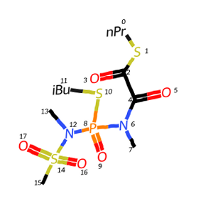 CCCSC(=O)C(=O)N(C)P(=O)(SC(C)CC)N(C)S(C)(=O)=O